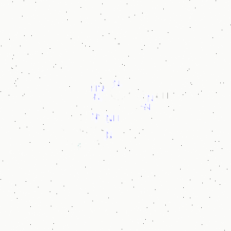 Cn1cc(-c2cnc3[nH]nc(-c4nc5c(-c6ccccc6F)ccnc5[nH]4)c3c2)cn1